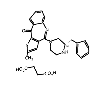 Cc1cc2c(N3CCN[C@@H](Cc4ccccc4)C3)nc3ccccc3c(=O)c2s1.O=C(O)CCC(=O)O